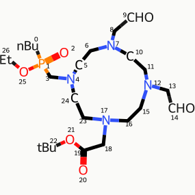 CCCCP(=O)(CN1CCN(CC=O)CCN(CC=O)CCN(CC(=O)OC(C)(C)C)CC1)OCC